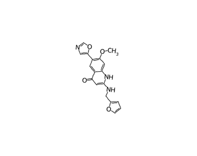 COc1cc2[nH]c(NCc3ccco3)cc(=O)c2cc1-c1cnco1